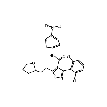 CCN(CC)c1ccc(NC(=O)c2c(-c3c(Cl)cccc3Cl)noc2CCC2CCCO2)cc1